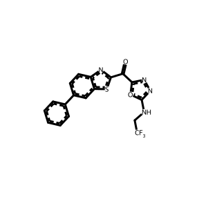 O=C(c1nnc(NCC(F)(F)F)o1)c1nc2ccc(-c3ccccc3)cc2s1